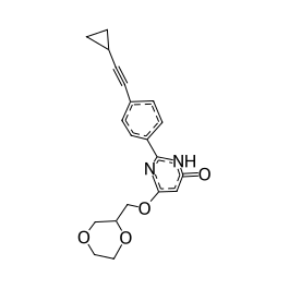 O=c1cc(OCC2COCCO2)nc(-c2ccc(C#CC3CC3)cc2)[nH]1